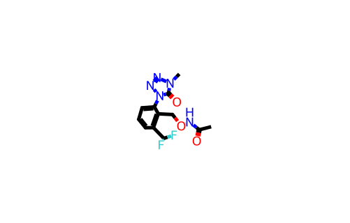 CC(=O)NOCc1c(C(F)F)cccc1-n1nnn(C)c1=O